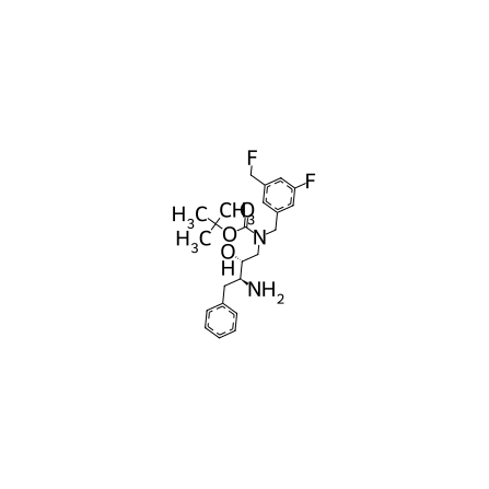 CC(C)(C)OC(=O)N(Cc1cc(F)cc(CF)c1)C[C@@H](O)[C@@H](N)Cc1ccccc1